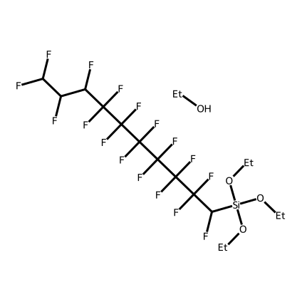 CCO.CCO[Si](OCC)(OCC)C(F)C(F)(F)C(F)(F)C(F)(F)C(F)(F)C(F)(F)C(F)(F)C(F)C(F)C(F)F